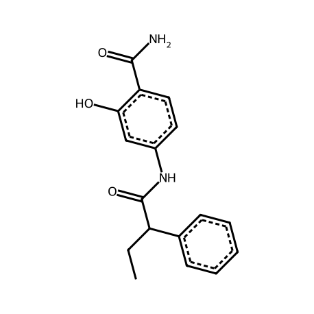 CCC(C(=O)Nc1ccc(C(N)=O)c(O)c1)c1ccccc1